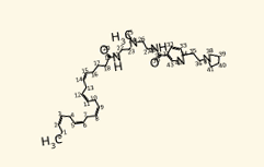 CC/C=C\C/C=C\C/C=C\C/C=C\C/C=C\CCCC(=O)NCCN(C)CCNC(=O)c1ccc(CCN2CCCC2)nc1